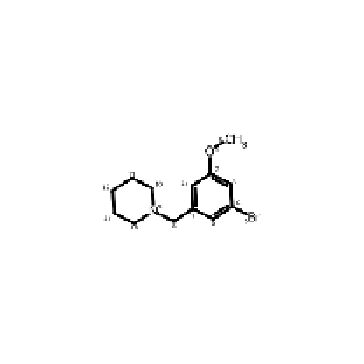 COc1cc(Br)cc(CN2CCCCC2)c1